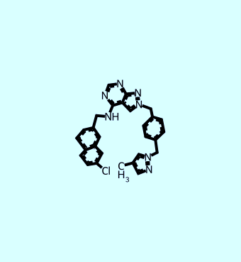 Cc1cnn(Cc2ccc(Cn3cc4c(NCc5ccc6ccc(Cl)cc6c5)ncnc4n3)cc2)c1